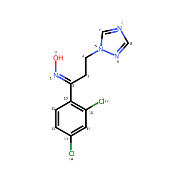 ON=C(CCn1cncn1)c1ccc(Cl)cc1Cl